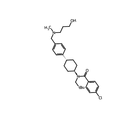 CN(CCCO)Cc1ccc([C@H]2CC[C@H](N(CC(C)(C)C)C(=O)c3ccc(Cl)cc3)CC2)cc1